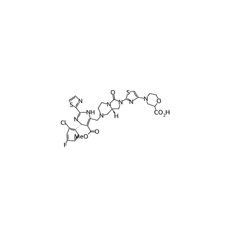 COC(=O)C1=C(CN2CCN3C(=O)N(c4nc(N5CCOC(C(=O)O)C5)cs4)C[C@@H]3C2)NC(c2nccs2)=N[C@H]1c1ccc(F)cc1Cl